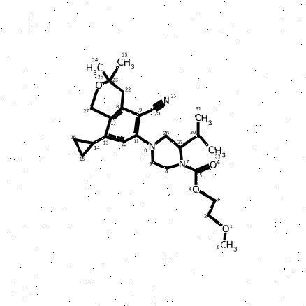 COCCOC(=O)N1CCN(c2cc(C3CC3)c3c(c2C#N)CC(C)(C)OC3)CC1C(C)C